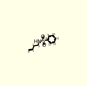 C=CCCNS(=O)(=O)c1ccccc1